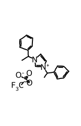 CC(c1ccccc1)n1cc[n+](C(C)c2ccccc2)c1.O=S(=O)([O-])C(F)(F)F